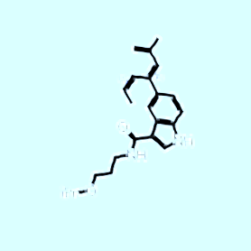 C=C(C)/C=C(\C=C/C)c1ccc2[nH]cc(C(=O)NCCCOC(C)C)c2c1